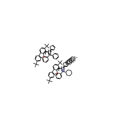 CC(C)(C)c1ccc2c(c1)Cc1c-2ccc(C(C)(C)C)[c]1/[Hf]([C]1=CC=CC1)=[C](\c1ccccc1)C1CCCCC1.CC(C)(C)c1ccc2c(c1)Cc1c-2ccc(C(C)(C)C)[c]1[Hf]([C]1=CC=CC1)=[C](c1ccccc1)c1ccccc1.[Cl-].[Cl-].[Cl-].[Cl-]